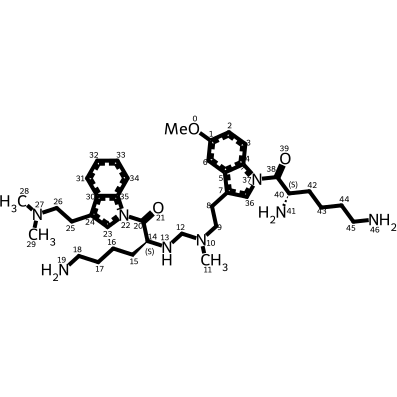 COc1ccc2c(c1)c(CCN(C)CN[C@@H](CCCCN)C(=O)n1cc(CCN(C)C)c3ccccc31)cn2C(=O)[C@@H](N)CCCCN